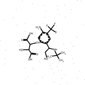 CC(C)(C)NC(CO)c1ccc(N)c(C(F)(F)F)c1.O=C(O)C(O)C(O)C(=O)O